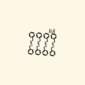 S.S.c1ccc(CSSCc2ccccc2)cc1.c1ccc(CSSCc2ccccc2)cc1.c1ccc(CSSCc2ccccc2)cc1.c1ccc(CSSCc2ccccc2)cc1